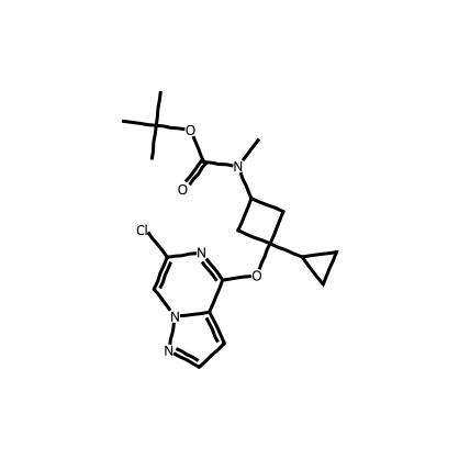 CN(C(=O)OC(C)(C)C)C1CC(Oc2nc(Cl)cn3nccc23)(C2CC2)C1